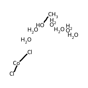 CO.O.O.O.O.O.O.[Cl][Co][Cl]